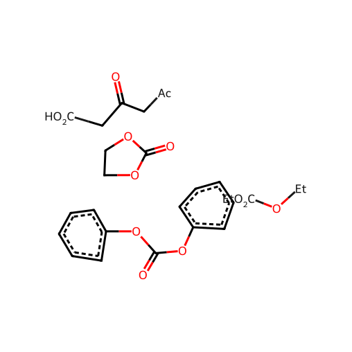 CC(=O)CC(=O)CC(=O)O.CCOC(=O)OCC.O=C(Oc1ccccc1)Oc1ccccc1.O=C1OCCO1